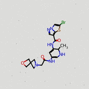 CC1NC=C(NC(=O)CN2CC3(COC3)C2)C=C1NC(=O)c1cnn2cc(Br)sc12